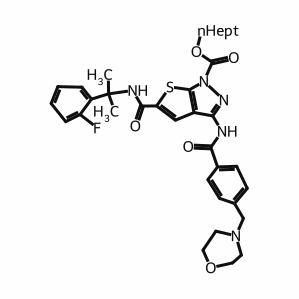 CCCCCCCOC(=O)n1nc(NC(=O)c2ccc(CN3CCOCC3)cc2)c2cc(C(=O)NC(C)(C)c3ccccc3F)sc21